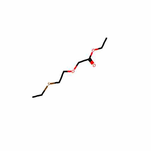 CCOC(=O)COCCSCC